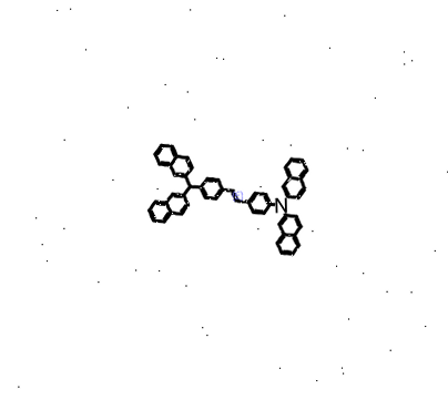 C(=C\c1ccc(N(c2ccc3ccccc3c2)c2ccc3ccccc3c2)cc1)/c1ccc(C(c2ccc3ccccc3c2)c2ccc3ccccc3c2)cc1